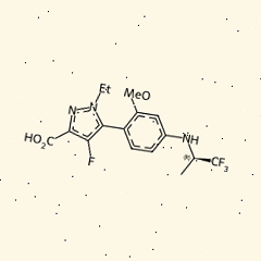 CCn1nc(C(=O)O)c(F)c1-c1ccc(N[C@H](C)C(F)(F)F)cc1OC